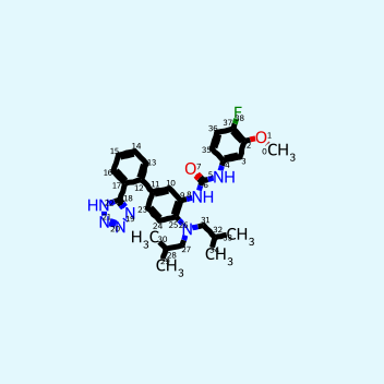 COc1cc(NC(=O)Nc2cc(-c3ccccc3-c3nnn[nH]3)ccc2N(CC(C)C)CC(C)C)ccc1F